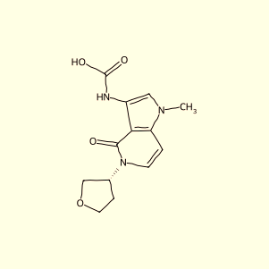 Cn1cc(NC(=O)O)c2c(=O)n([C@@H]3CCOC3)ccc21